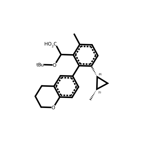 Cc1ccc([C@@H]2C[C@@H]2C)c(-c2ccc3c(c2)CCCO3)c1C(OC(C)(C)C)C(=O)O